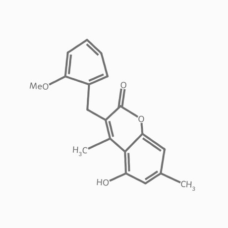 COc1ccccc1Cc1c(C)c2c(O)cc(C)cc2oc1=O